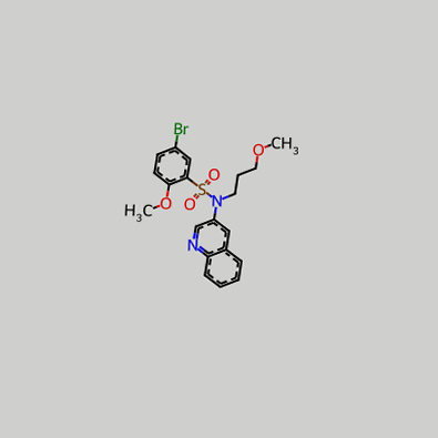 COCCCN(c1cnc2ccccc2c1)S(=O)(=O)c1cc(Br)ccc1OC